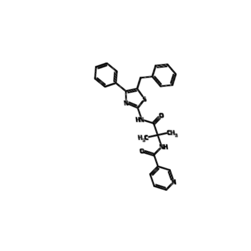 CC(C)(NC(=O)c1cccnc1)C(=O)Nc1nc(-c2ccccc2)c(Cc2ccccc2)s1